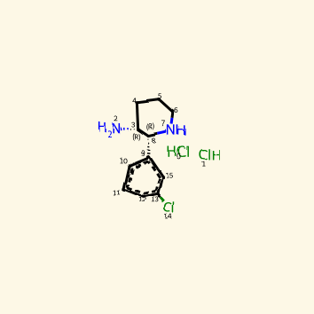 Cl.Cl.N[C@@H]1CCCN[C@@H]1c1cccc(Cl)c1